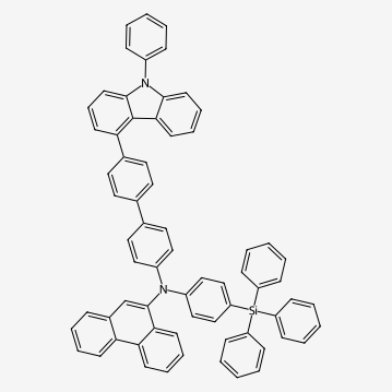 c1ccc(-n2c3ccccc3c3c(-c4ccc(-c5ccc(N(c6ccc([Si](c7ccccc7)(c7ccccc7)c7ccccc7)cc6)c6cc7ccccc7c7ccccc67)cc5)cc4)cccc32)cc1